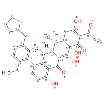 CCc1ccc(CN2CCCC2)cc1-c1ccc(O)c2c1[C@H](C)[C@@H]1C(=C(O)[C@]3(O)C(=O)C(C(N)=O)=C(O)C[C@@H]3[C@H]1O)C2=O